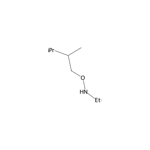 C[CH]NOCC(C)C(C)C